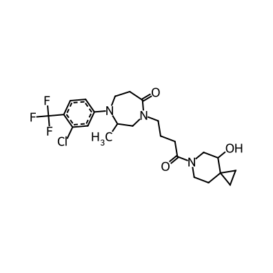 CC1CN(CCCC(=O)N2CCC3(CC3)C(O)C2)C(=O)CCN1c1ccc(C(F)(F)F)c(Cl)c1